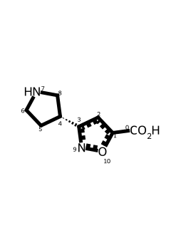 O=C(O)c1cc([C@@H]2CCNC2)no1